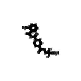 CC(OC(=O)N1CCC(C(=O)OCC(F)(F)S(=O)(=O)O)CC1)c1ccccc1[N+](=O)[O-]